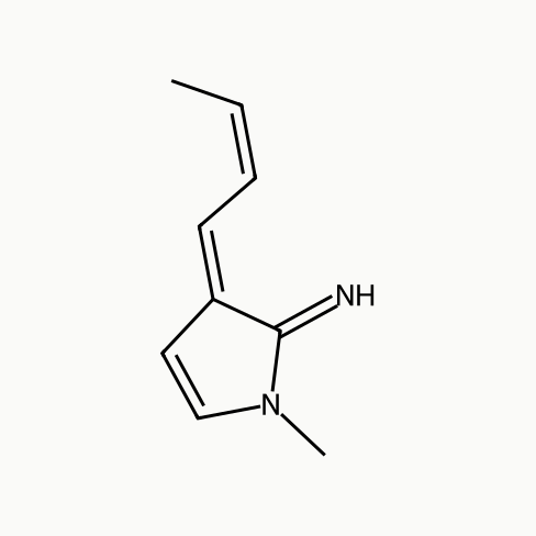 C/C=C\C=C1\C=CN(C)C1=N